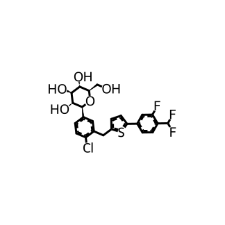 OC[C@H]1O[C@@H](c2ccc(Cl)c(Cc3ccc(-c4ccc(C(F)F)c(F)c4)s3)c2)[C@H](O)[C@@H](O)[C@@H]1O